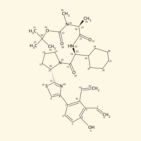 C=Cc1c(O)ccc(-c2csc([C@@H]3CCCN3C(=O)[C@@H](NC(=O)[C@H](C)N(C)C(=O)OC(C)(C)C)C3CCCCC3)n2)c1C=C